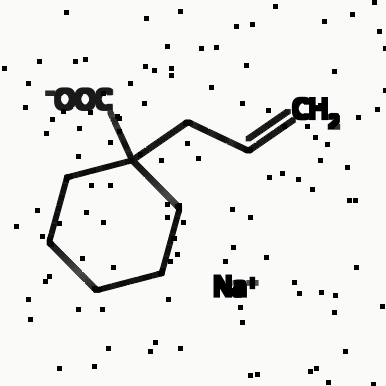 C=CCC1(C(=O)[O-])CCCCC1.[Na+]